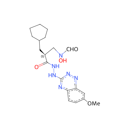 COc1ccc2nc(NNC(=O)[C@@H](CC3CCCCC3)CN(O)C=O)nnc2c1